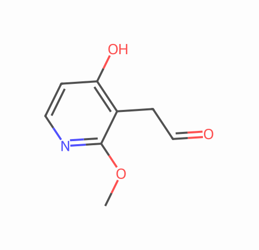 COc1nccc(O)c1CC=O